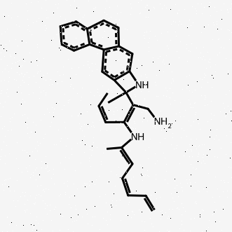 C=C/C=C\C=C(/C)NC(/C=C\C)=C(\CN)C1(C)Nc2cc3ccc4ccccc4c3cc21